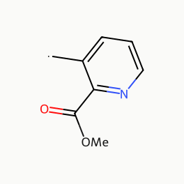 [CH2]c1cccnc1C(=O)OC